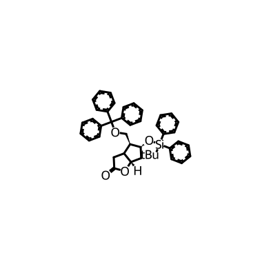 CC(C)(C)[Si](O[C@@H]1C[C@@H]2OC(=O)CC2[C@H]1COC(c1ccccc1)(c1ccccc1)c1ccccc1)(c1ccccc1)c1ccccc1